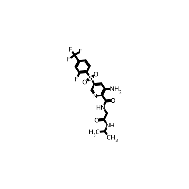 CC(C)NC(=O)CNC(=O)c1ncc(S(=O)(=O)c2ccc(C(F)(F)F)cc2F)cc1N